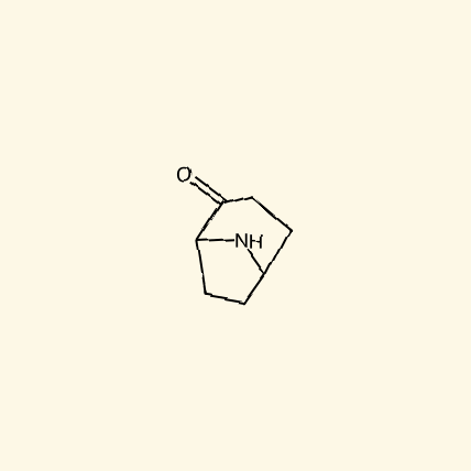 O=C1CCC2CCC1N2